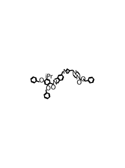 CC(C)c1cc(C(=O)N2Cc3ccc(CN4CC(CN5CCN(C(=O)OCc6ccccc6)CC5)C4)cc3C2)c(OCc2ccccc2)cc1OCc1ccccc1